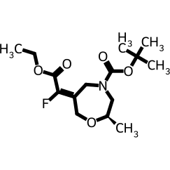 CCOC(=O)C(F)=C1CO[C@H](C)CN(C(=O)OC(C)(C)C)C1